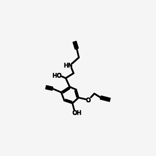 C#CCNCC(O)c1cc(OCC#C)c(O)cc1C#C